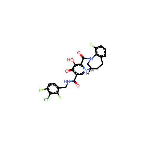 O=C(NCc1ccc(F)c(Cl)c1F)c1cn2c(c(O)c1=O)C(=O)N1C[C@@H]2CCc2cccc(F)c21